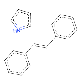 C(=Cc1ccccc1)c1ccccc1.c1cc[nH]c1